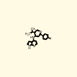 C=C(C)c1cnc(-c2ccc(F)cc2)cc1Nc1ccnc2[nH]ccc12